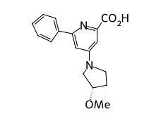 CO[C@H]1CCN(c2cc(C(=O)O)nc(-c3ccccc3)c2)C1